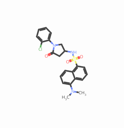 CN(C)c1cccc2c(S(=O)(=O)NC3CC(=O)N(c4ccccc4Cl)C3)cccc12